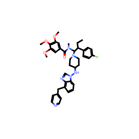 CCC(c1ccc(F)cc1)C(N1CCC(Nn2cnc3c(Cc4ccncc4)cccc32)CC1)N(C)C(=O)c1cc(OC)c(OC)c(OC)c1